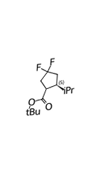 CC(C)[C@@H]1CC(F)(F)CC1C(=O)OC(C)(C)C